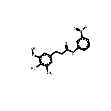 COc1cc(CCC(=O)Nc2cccc([N+](=O)[O-])c2)cc(C)c1C